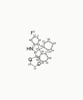 Fc1ccc2c(c1)NC(C1COCCO1)C2(c1ccccc1)c1ccccc1